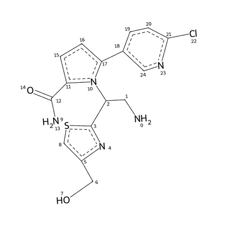 NCC(c1nc(CO)cs1)n1c(C(N)=O)ccc1-c1ccc(Cl)nc1